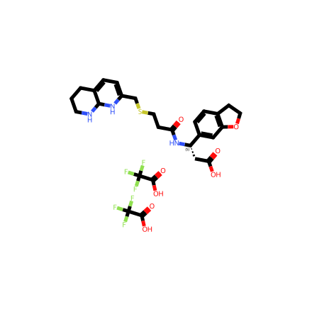 O=C(O)C(F)(F)F.O=C(O)C(F)(F)F.O=C(O)C[C@H](NC(=O)CCSCC1=CC=C2CCCNC2N1)c1ccc2c(c1)OCC2